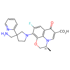 C[C@H]1COc2c(N3CCC(CN)(c4ccccn4)C3)c(F)cc3c(=O)c(C(=O)O)cn1c23